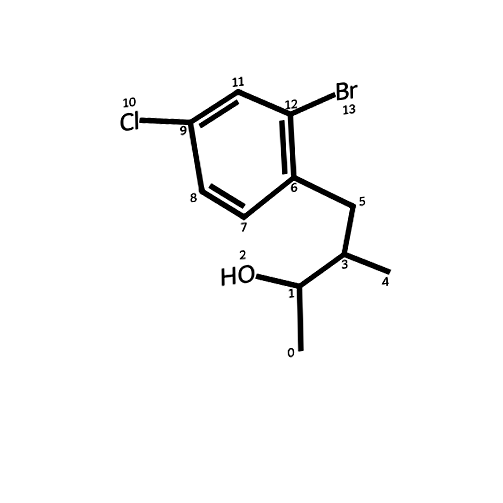 CC(O)C(C)Cc1ccc(Cl)cc1Br